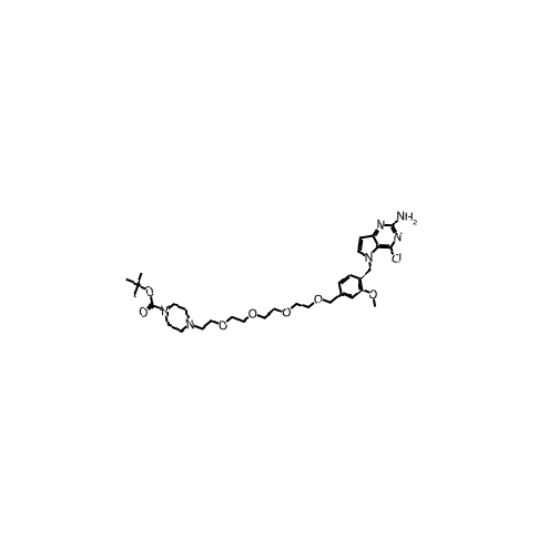 COc1cc(COCCOCCOCCOCCN2CCN(C(=O)OC(C)(C)C)CC2)ccc1Cn1ccc2nc(N)nc(Cl)c21